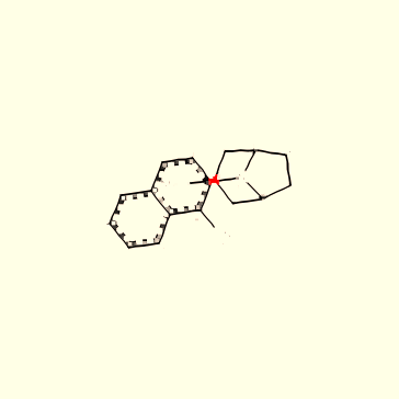 COC1CC2CCC(C1)N2c1ccc2ccccc2c1C#N